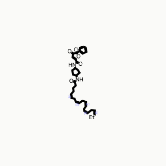 CC/C=C\C/C=C\C/C=C\C/C=C\C/C=C\CCCC(=O)NC1CCC(NC(=O)C2=CC(=O)C(C)(c3ccccc3)O2)CC1